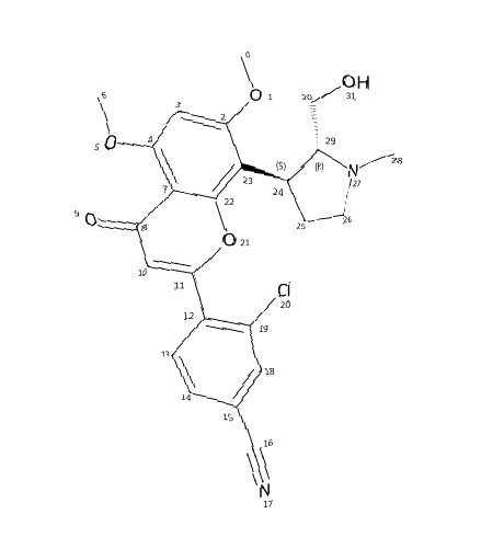 COc1cc(OC)c2c(=O)cc(-c3ccc(C#N)cc3Cl)oc2c1[C@@H]1CCN(C)[C@H]1CO